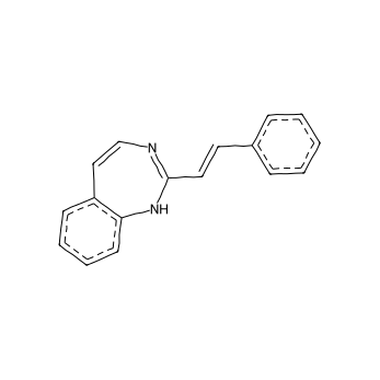 C1=Cc2ccccc2NC(/C=C/c2ccccc2)=N1